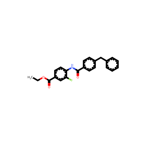 CCOC(=O)c1ccc(NC(=O)c2ccc(Cc3ccccc3)cc2)c(F)c1